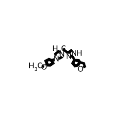 COc1ccc(N2CCN(C(C)c3c[nH]c(-c4ccc5c(c4)CCO5)n3)CC2)cc1